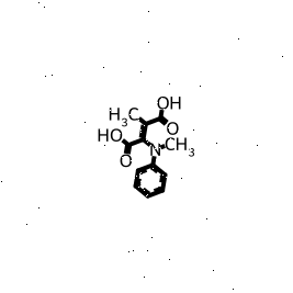 CC(C(=O)O)=C(C(=O)O)N(C)c1ccccc1